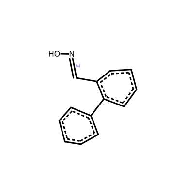 O/N=C/c1ccccc1-c1ccccc1